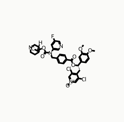 COc1ccc([C@H](Cc2c(Cl)c[n+]([O-])cc2Cl)OC(=O)c2ccc(CN(C(=O)O[C@H]3CN4CCC3CC4)c3cncc(F)c3)cc2)cc1OC